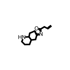 C=CCc1nc2c(o1)CC1NCCCC1C2